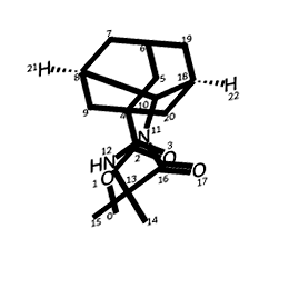 COC(=O)C12CC3C[C@H](C1)C(N1NC(C)(C)C1=O)[C@@H](C3)C2